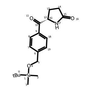 CC(C)(C)[Si](C)(C)OCc1ccc(C(=O)[C@@H]2CCC(=O)N2)cc1